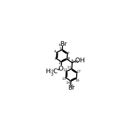 COc1ccc(Br)cc1C(O)c1ccc(Br)cc1